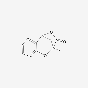 CC12CC(OC1=O)c1ccccc1O2